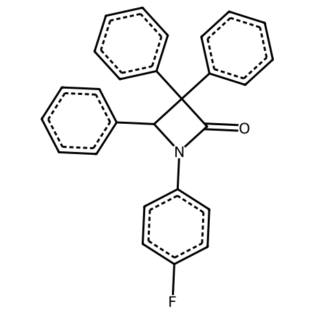 O=C1N(c2ccc(F)cc2)C(c2ccccc2)C1(c1ccccc1)c1ccccc1